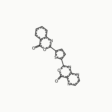 O=c1oc(-c2ccc(-c3nc4nccnc4c(=O)o3)s2)nc2ccccc12